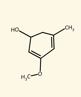 COC1=C[C](O)CC(C)=C1